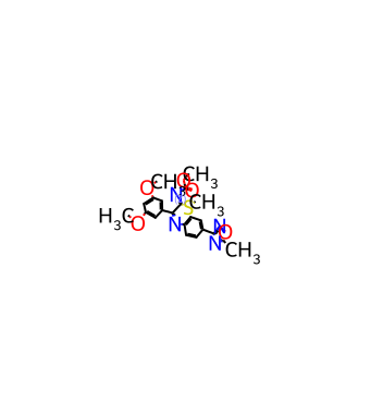 COC(=O)/N=C(\SC)C(=Nc1ccc(-c2noc(C)n2)cc1)c1cc(OC)cc(OC)c1